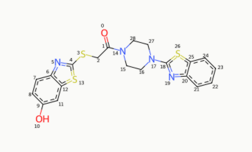 O=C(CSc1nc2ccc(O)cc2s1)N1CCN(c2nc3ccccc3s2)CC1